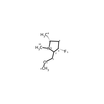 COCC1[C@@H](F)C[C@@H](C)N1C